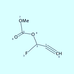 C#CC(F)OC(=O)OC